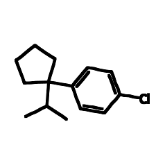 CC(C)C1(c2ccc(Cl)cc2)CCCC1